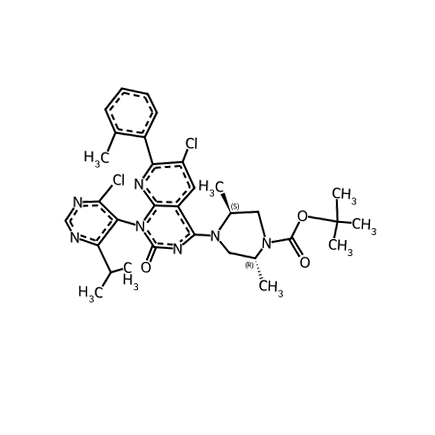 Cc1ccccc1-c1nc2c(cc1Cl)c(N1C[C@@H](C)N(C(=O)OC(C)(C)C)C[C@@H]1C)nc(=O)n2-c1c(Cl)ncnc1C(C)C